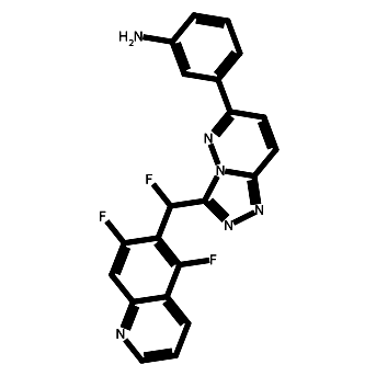 Nc1cccc(-c2ccc3nnc(C(F)c4c(F)cc5ncccc5c4F)n3n2)c1